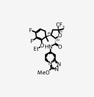 CCOC1=C(F)C(F)=CCC1(C)[C@H]1C[C@@](C)(C(F)(F)F)O[C@@H]1C(=O)Nc1ccn2c(OC)nnc2c1